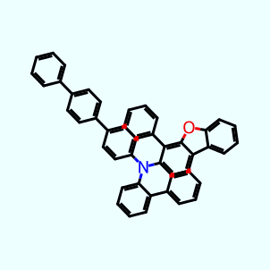 c1ccc(-c2ccc(-c3ccc(N(c4ccccc4-c4ccccc4)c4ccc5c(oc6ccccc65)c4-c4ccccc4)cc3)cc2)cc1